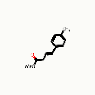 COC(=O)CC=Cc1ccc(C(F)(F)F)cc1